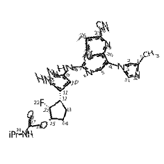 Cc1cn(-c2cnc(Nc3cc([C@@H]4CC[C@H](OC(=O)NC(C)C)[C@@H]4F)[nH]n3)n3cc(C#N)nc23)cn1